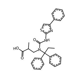 CCC(c1ccccc1)(c1ccccc1)N(CC(C)C(=O)O)C(=O)Nc1nc(-c2ccccc2)cs1